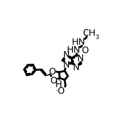 CCNC(=O)Nc1ncnc2c1ncn2C1CC(C[O])[C@H]2O[C@@H](C=Cc3ccccc3)OC12